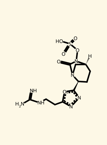 N=C(N)NCCc1nnc([C@@H]2CC[C@H]3CN2C(=O)N3OS(=O)(=O)O)o1